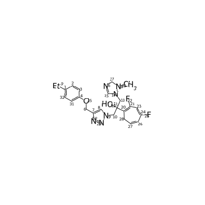 CCc1ccc(OCc2cn(CC(O)(CN3C=NCN3C)C3=C(F)C=C(F)C=CC3)nn2)cc1